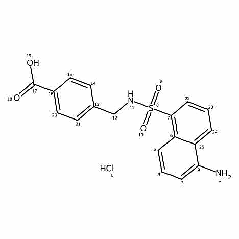 Cl.Nc1cccc2c(S(=O)(=O)NCc3ccc(C(=O)O)cc3)cccc12